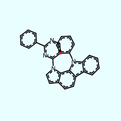 c1ccc(-c2nccc(-n3ccc4ccc5c6ccccc6n(-c6ccccc6)c5c43)n2)cc1